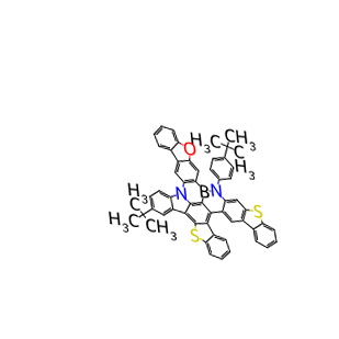 CC(C)(C)c1ccc(N2B3c4cc5oc6ccccc6c5cc4-n4c5ccc(C(C)(C)C)cc5c5c6sc7ccccc7c6c(c3c54)-c3cc4c(cc32)sc2ccccc24)cc1